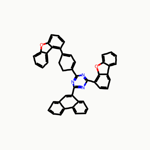 C1=C(c2nc(-c3cc4ccccc4c4ccccc34)nc(-c3cccc4c3oc3ccccc34)n2)CCC(c2cccc3oc4ccccc4c23)=C1